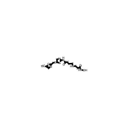 CC(C)(C)c1cnc(CSC2CN=C(NC(=O)CCCNCCC(=O)NO)S2)o1